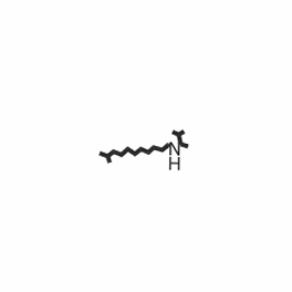 CC(C)CCCCCCCCCNC(C)C(C)C